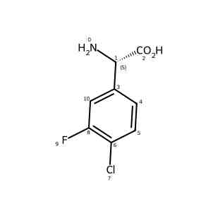 N[C@H](C(=O)O)c1ccc(Cl)c(F)c1